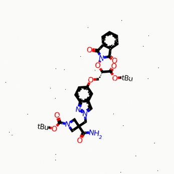 CC(C)(C)OC(=O)[C@H](COc1ccc2nn(CC3(C(N)=O)CN(C(=O)OC(C)(C)C)C3)cc2c1)ON1C(=O)c2ccccc2C1=O